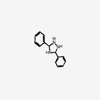 c1ccc(C2NNC(c3ccccc3)N2)cc1